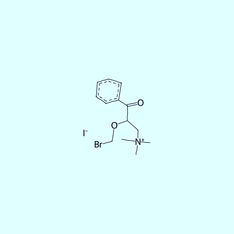 C[N+](C)(C)CC(OCBr)C(=O)c1ccccc1.[I-]